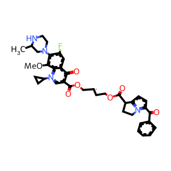 COc1c(N2CCNC(C)C2)c(F)cc2c(=O)c(C(=O)OC[CH]CCOC(=O)C3CCn4c(C(=O)c5ccccc5)ccc43)cn(C3CC3)c12